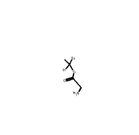 CCC(C)(CC)OC(=O)CN